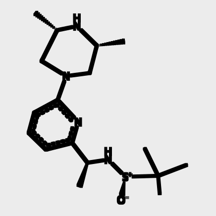 C[C@@H]1CN(c2cccc([C@H](C)N[S@+]([O-])C(C)(C)C)n2)C[C@H](C)N1